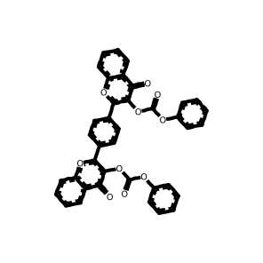 O=C(Oc1ccccc1)Oc1c(-c2ccc(-c3oc4ccccc4c(=O)c3OC(=O)Oc3ccccc3)cc2)oc2ccccc2c1=O